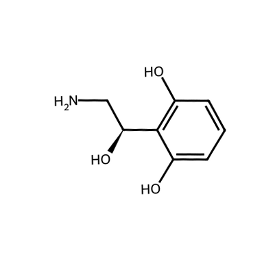 NC[C@H](O)c1c(O)cccc1O